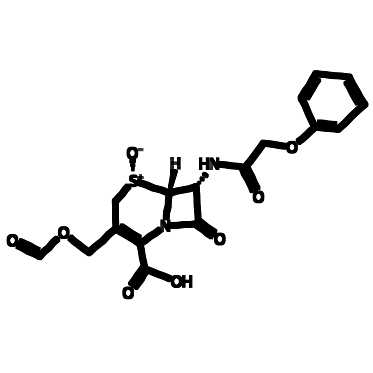 O=COCC1=C(C(=O)O)N2C(=O)[C@@H](NC(=O)COc3ccccc3)[C@H]2[S@@+]([O-])C1